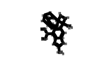 Cc1nc2c(B(O)O)cc(C3(C)OOC34C3CC5CC(C3)CC4C5)cc2o1